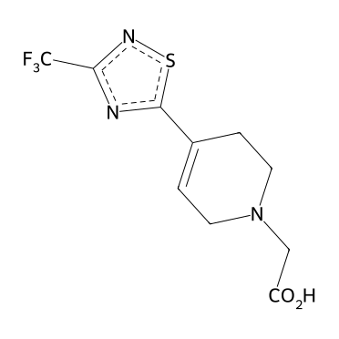 O=C(O)CN1CC=C(c2nc(C(F)(F)F)ns2)CC1